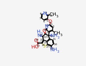 Cc1cc(Oc2cccnc2C)ncc1C1(N)C(=O)C(N)c2c(C(=O)O)sc3c(N)ccc1c23